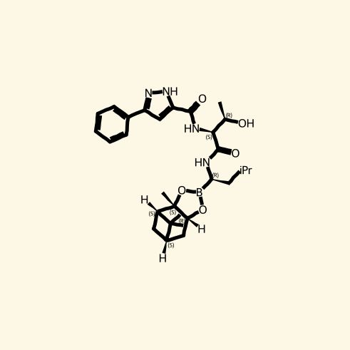 CC(C)C[C@H](NC(=O)[C@@H](NC(=O)c1cc(-c2ccccc2)n[nH]1)[C@@H](C)O)B1O[C@@H]2C[C@@H]3C[C@@H](C3(C)C)[C@]2(C)O1